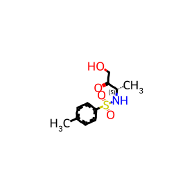 Cc1ccc(S(=O)(=O)N[C@@H](C)C(=O)CO)cc1